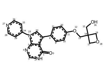 O=c1[nH]cnc2c1c(-c1ccc(OCC3(CO)COC3)cc1)cn2-c1ccncc1